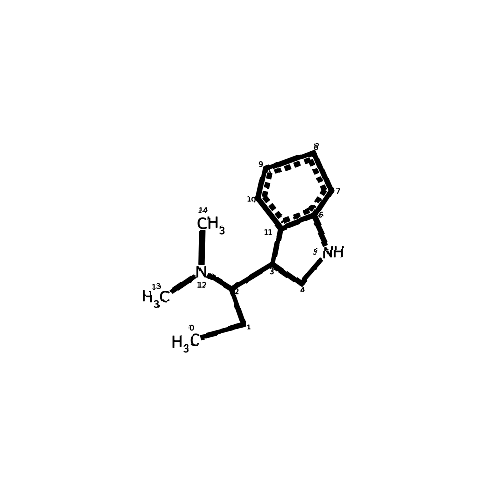 CCC(C1CNc2ccccc21)N(C)C